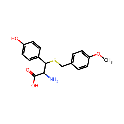 COc1ccc(CSC(c2ccc(O)cc2)[C@@H](N)C(=O)O)cc1